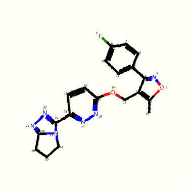 Cc1onc(-c2ccc(F)cc2)c1COc1ccc(-c2nnc3n2CCC3)nn1